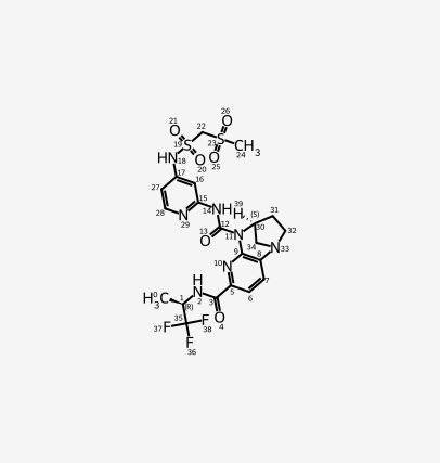 C[C@@H](NC(=O)c1ccc2c(n1)N(C(=O)Nc1cc(NS(=O)(=O)CS(C)(=O)=O)ccn1)[C@H]1CCN2C1)C(F)(F)F